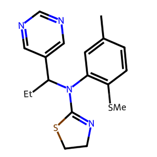 CCC(c1cncnc1)N(C1=NCCS1)c1cc(C)ccc1SC